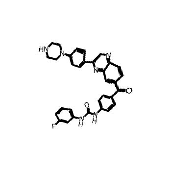 O=C(Nc1ccc(C(=O)c2ccc3ncc(-c4ccc(N5CCNCC5)cc4)nc3c2)cc1)Nc1cccc(F)c1